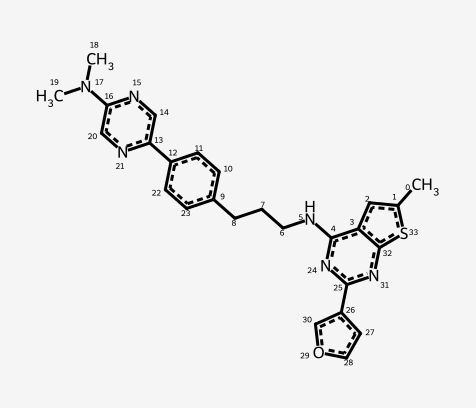 Cc1cc2c(NCCCc3ccc(-c4cnc(N(C)C)cn4)cc3)nc(-c3ccoc3)nc2s1